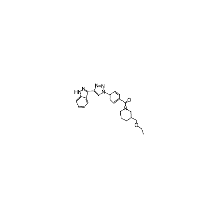 CCOCC1CCCN(C(=O)c2ccc(-n3cc(-c4n[nH]c5ccccc45)nn3)cc2)C1